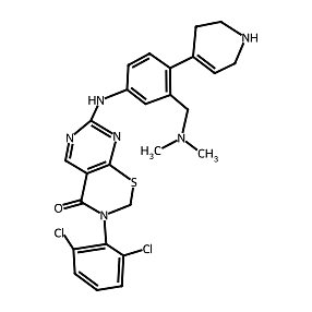 CN(C)Cc1cc(Nc2ncc3c(n2)SCN(c2c(Cl)cccc2Cl)C3=O)ccc1C1=CCNCC1